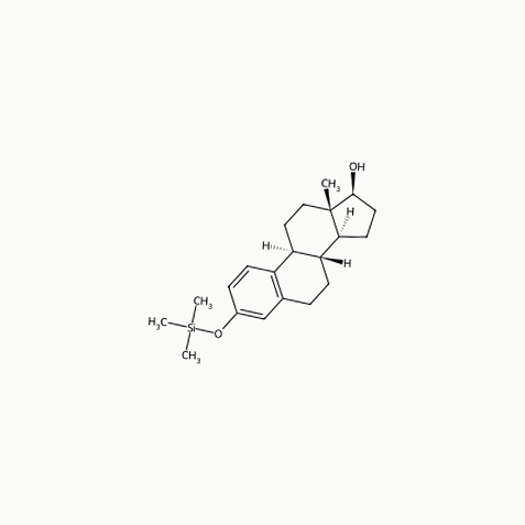 C[C@]12CC[C@@H]3c4ccc(O[Si](C)(C)C)cc4CC[C@H]3[C@@H]1CC[C@@H]2O